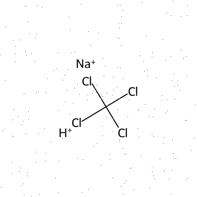 ClC(Cl)(Cl)Cl.[H+].[Na+]